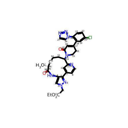 CCOC(=O)Cn1cc2c(n1)-c1ccnc(c1)C(N1CCC(c3cc(Cl)ccc3-n3ccnn3)=CC1=O)CCC[C@@H](C)C(=O)N2